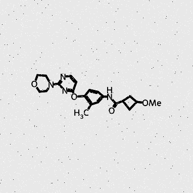 COC1CC(C(=O)Nc2ccc(Oc3ccnc(N4CCOCC4)n3)c(C)c2)C1